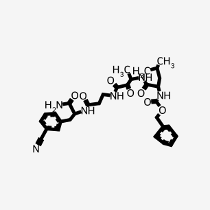 CC(C)CC(NC(=O)OCc1ccccc1)C(=O)NC(C)C(=O)C(=O)NCCC(=O)NC(Cc1cccc(C#N)c1)C(N)=O